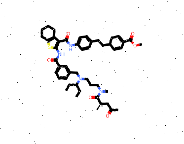 CCC(CC)N(CCCN(C)C(=O)[C@H](C)CC(C)=O)Cc1cccc(C(=O)Nc2sc3c(c2C(=O)Nc2ccc(CCC4C=CC(C(=O)OC)=CC4)cc2)CCCC3)c1